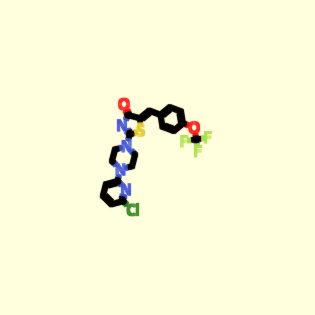 O=C1N=C(N2CCN(c3cccc(Cl)n3)CC2)SC1=Cc1ccc(OC(F)(F)F)cc1